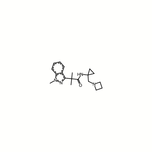 Cn1nc(C(C)(C)C(=O)NC2(CN3CCC3)CC2)c2ccccc21